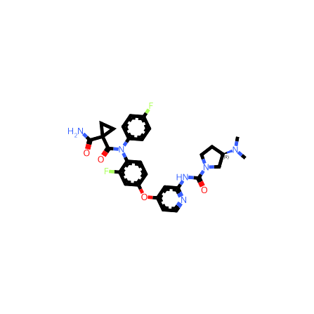 CN(C)[C@@H]1CCN(C(=O)Nc2cc(Oc3ccc(N(C(=O)C4(C(N)=O)CC4)c4ccc(F)cc4)c(F)c3)ccn2)C1